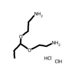 CCC(OCCN)OCCN.Cl.Cl